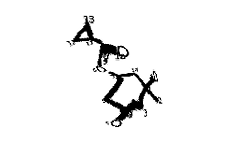 CC1(C)CC(=O)C=C(OC(=O)C2CC2)C1